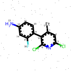 CCc1cc(Cl)nc(Cl)c1-c1ccc(N)cc1F